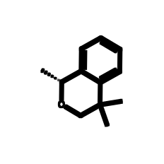 C[C@H]1OCC(C)(C)c2ccccc21